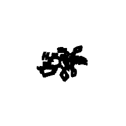 CCN(C(=O)OC(C)(C)C)C(=O)N(O)C1(C(C(N)=O)c2ccn(C)n2)CCC1